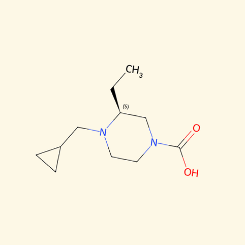 CC[C@H]1CN(C(=O)O)CCN1CC1CC1